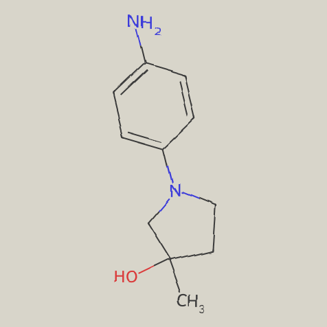 CC1(O)CCN(c2ccc(N)cc2)C1